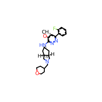 COc1cc(-c2ccccc2F)nnc1N[C@H]1C[C@@H]2CN(CC3CCOCC3)C[C@@H]2C1